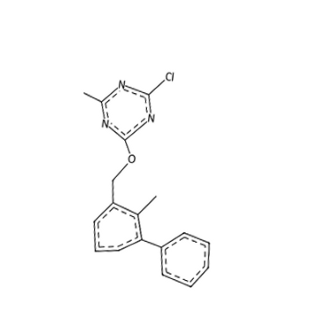 Cc1nc(Cl)nc(OCc2cccc(-c3ccccc3)c2C)n1